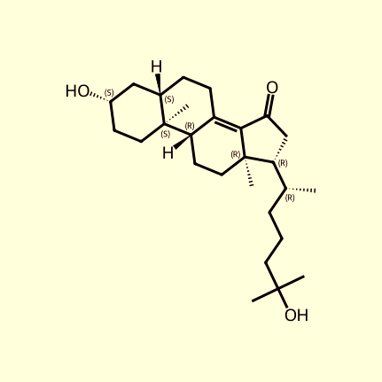 C[C@H](CCCC(C)(C)O)[C@H]1CC(=O)C2=C3CC[C@H]4C[C@@H](O)CC[C@]4(C)[C@H]3CC[C@@]21C